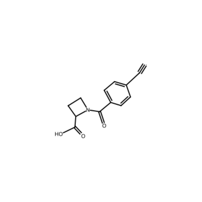 [C]#Cc1ccc(C(=O)N2CCC2C(=O)O)cc1